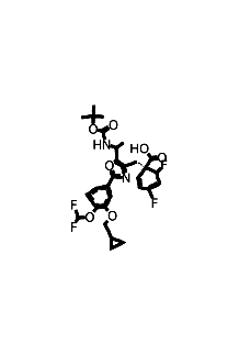 CC(NC(=O)OC(C)(C)C)c1oc(-c2ccc(OC(F)F)c(OCC3CC3)c2)nc1C[C@@]1(C(=O)O)C=CC(F)=CC1F